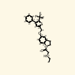 CCNCC(=O)N1CCc2cc(OCc3cc(-c4ccccc4)c(C(F)(F)F)s3)ccc21